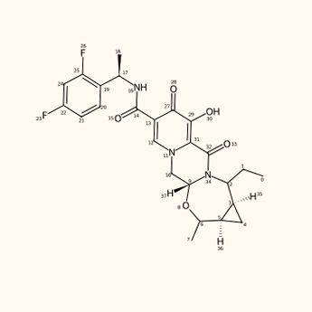 CCC1[C@H]2C[C@H]2C(C)O[C@@H]2Cn3cc(C(=O)N[C@H](C)c4ccc(F)cc4F)c(=O)c(O)c3C(=O)N12